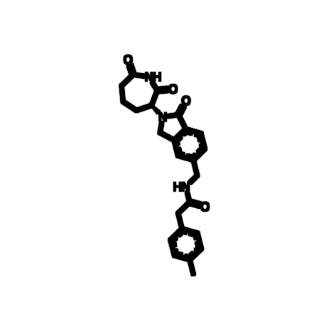 Cc1ccc(CC(=O)NCc2ccc3c(c2)CN([C@H]2CCCC(=O)NC2=O)C3=O)cc1